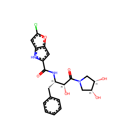 O=C(N[C@@H](Cc1ccccc1)[C@@H](O)C(=O)N1C[C@@H](O)[C@@H](O)C1)c1cc2oc(Cl)cc2[nH]1